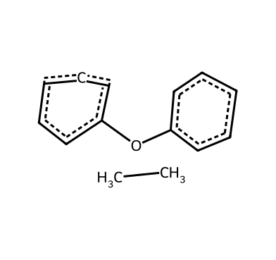 CC.c1ccc(Oc2ccccc2)cc1